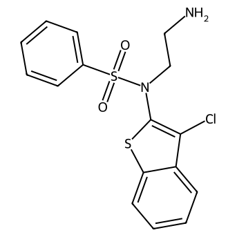 NCCN(c1sc2ccccc2c1Cl)S(=O)(=O)c1ccccc1